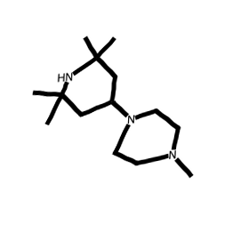 CN1CCN([C]2CC(C)(C)NC(C)(C)C2)CC1